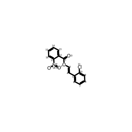 O=C(O/C=C/c1ccccc1Cl)c1ccccc1[N+](=O)[O-]